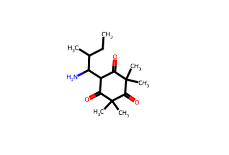 CCC(C)C(N)C1C(=O)C(C)(C)C(=O)C(C)(C)C1=O